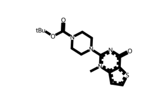 Cn1c(N2CCN(C(=O)OC(C)(C)C)CC2)nc(=O)c2sccc21